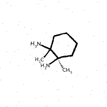 CC1(N)CCCC[C@@]1(C)N